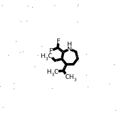 CCC1C(C(C)C)CCCNC1C(F)F